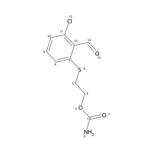 NC(=O)OCCSc1cccc(Cl)c1C=O